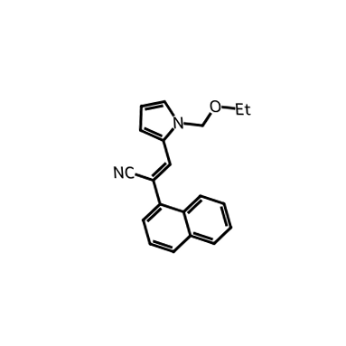 CCOCn1cccc1C=C(C#N)c1cccc2ccccc12